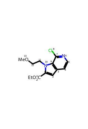 CCOC(=O)c1cc2ccnc(Cl)c2n1CCOC